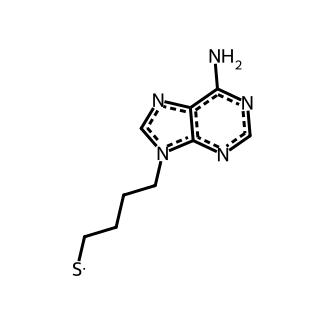 Nc1ncnc2c1ncn2CCCC[S]